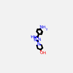 Nc1ccc(-c2nc(N3CCC(O)CC3)n[nH]2)cc1